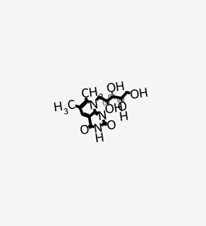 Cc1cc2c(=O)[nH]c(=O)nc-2n(C[C@H](O)[C@H](O)[C@H](O)CO)c1C